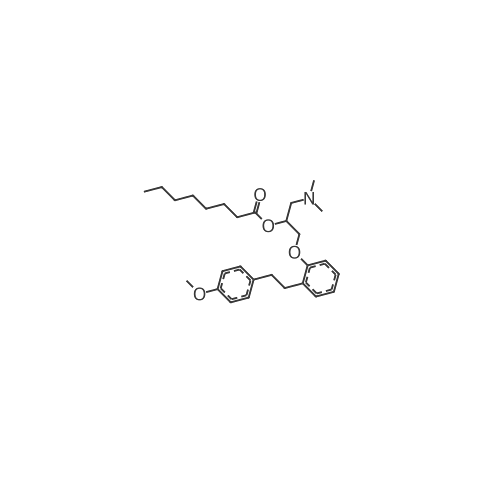 CCCCCCCC(=O)OC(COc1ccccc1CCc1ccc(OC)cc1)CN(C)C